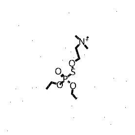 CCOP(=O)(OCC)SOCC[N+](C)(C)C